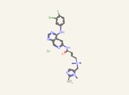 Cn1c(C[N+](C)(C)C/C=C/C(=O)Nc2cc3c(Nc4ccc(F)c(Br)c4)ncnc3cn2)cnc1[N+](=O)[O-].[Br-]